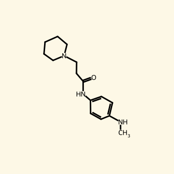 CNc1ccc(NC(=O)CCN2CCCCC2)cc1